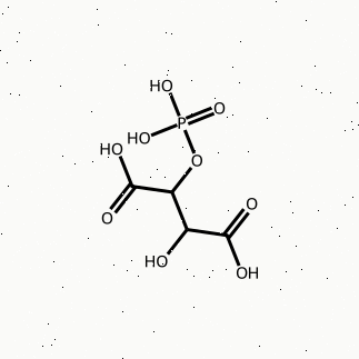 O=C(O)C(O)C(OP(=O)(O)O)C(=O)O